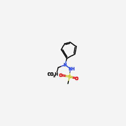 CS(=O)(=O)NN(CC(=O)O)c1ccccc1